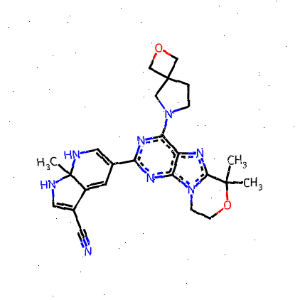 CC12NC=C(C#N)C1=CC(c1nc(N3CCC4(COC4)C3)c3nc4n(c3n1)CCOC4(C)C)=CN2